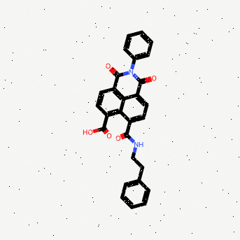 O=C(O)c1ccc2c3c(ccc(C(=O)NCCc4ccccc4)c13)C(=O)N(c1ccccc1)C2=O